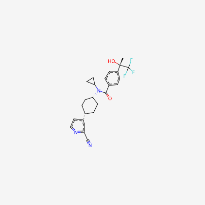 C[C@](O)(c1ccc(C(=O)N(C2CC2)[C@H]2CC[C@@H](c3ccnc(C#N)c3)CC2)cc1)C(F)(F)F